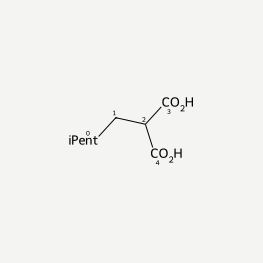 CCCC(C)CC(C(=O)O)C(=O)O